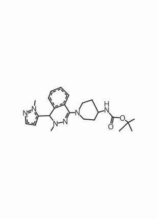 CN1N=C(N2CCC(NC(=O)OC(C)(C)C)CC2)c2ccccc2C1c1ccnn1C